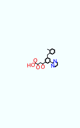 Cc1ccccc1Cc1cc(C(=O)CC(=O)C(=O)O)cc(-c2ncccn2)c1